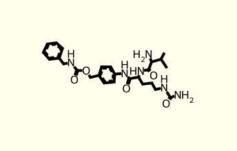 CC(C)C(N)C(=O)NC(CCCNC(N)=O)C(=O)Nc1ccc(COC(=O)NCc2ccccc2)cc1